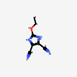 CCOc1nc(C#N)c(C#N)[nH]1